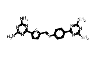 Nc1nc(N)nc(-c2ccc(/N=C/c3ccc(-c4nc(N)nc(N)n4)s3)cc2)n1